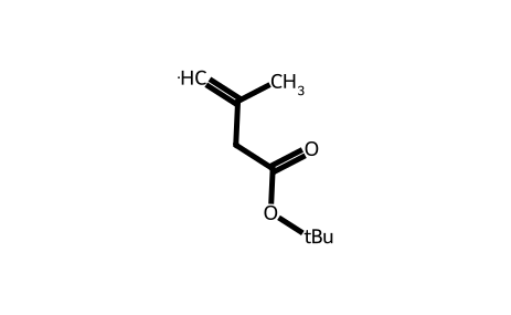 [CH]=C(C)CC(=O)OC(C)(C)C